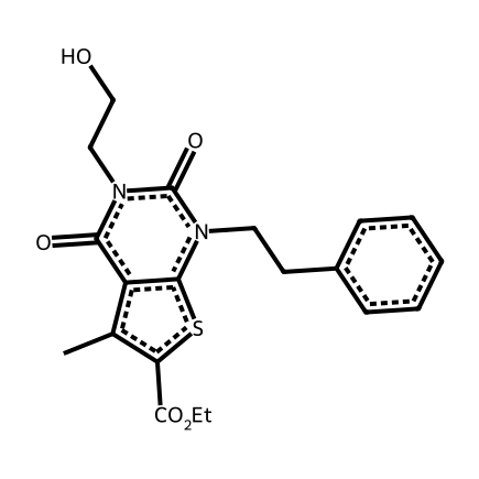 CCOC(=O)c1sc2c(c1C)c(=O)n(CCO)c(=O)n2CCc1ccccc1